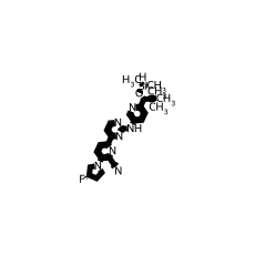 C[SiH](C)OC(c1ccc(Nc2nccc(-c3ccc(N4CC[C@H](F)C4)c(C#N)n3)n2)cn1)C(C)(C)C